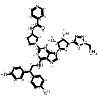 CCn1nnc([C@H]2O[C@@H](n3cnc4c(NCC(c5ccc(O)cc5)c5ccc(O)cc5)nc(N5CCC(NC(=O)c6ccncc6)C5)nc43)[C@H](O)[C@@H]2O)n1